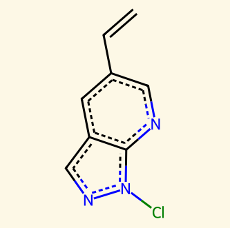 C=Cc1cnc2c(cnn2Cl)c1